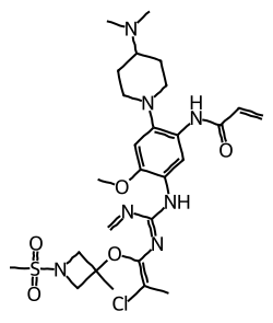 C=CC(=O)Nc1cc(N/C(N=C)=N/C(OC2(C)CN(S(C)(=O)=O)C2)=C(\C)Cl)c(OC)cc1N1CCC(N(C)C)CC1